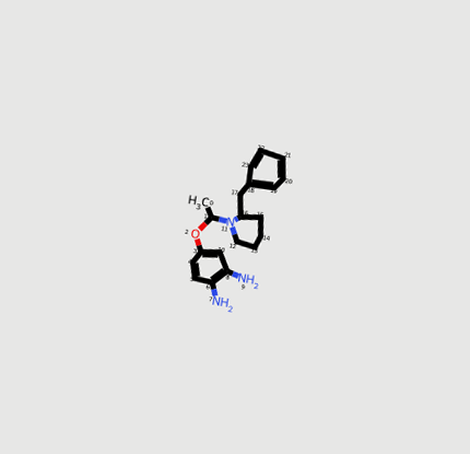 CC(Oc1ccc(N)c(N)c1)N1CCCCC1Cc1ccccc1